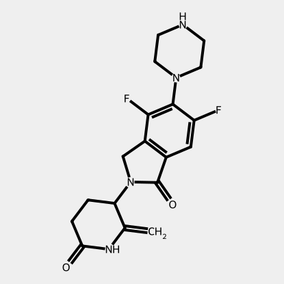 C=C1NC(=O)CCC1N1Cc2c(cc(F)c(N3CCNCC3)c2F)C1=O